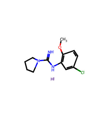 COc1ccc(Cl)cc1NC(=N)N1CCCC1.I